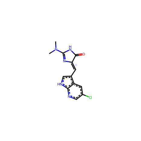 CN(C)C1=N/C(=C\c2c[nH]c3ncc(Cl)cc23)C(=O)N1